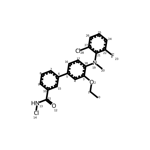 CCOc1cc(-c2cccc(C(=O)NCl)c2)ccc1N(C)c1c(F)cccc1Cl